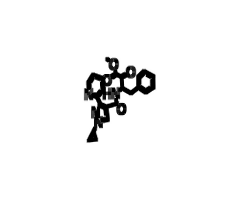 COC(=O)C(=O)C(Cc1ccccc1)NC(=O)c1cn(C2CC2)nc1-c1ccccn1